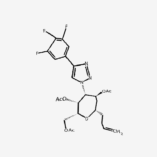 C=CC[C@@H]1O[C@H](COC(C)=O)[C@H](OC(C)=O)[C@H](n2cc(-c3cc(F)c(F)c(F)c3)nn2)[C@H]1OC(C)=O